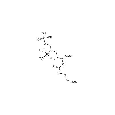 CCCCCCCCCCCCNC(=O)OC(CCC(COP(=O)(O)O)[N+](C)(C)C)OC